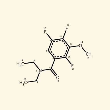 CCN(CC)C(=O)c1cc(F)c(F)c(OC)c1F